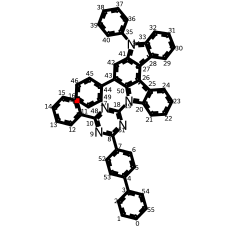 c1ccc(-c2ccc(-c3nc(-c4ccccc4)nc(-n4c5ccccc5c5c6c7ccccc7n(-c7ccccc7)c6cc(-c6ccccc6)c54)n3)cc2)cc1